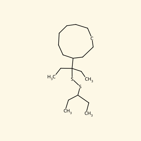 CCC(CC)SSC(CC)(CC)C1CCCCCCCCC1